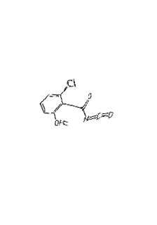 CC(=O)Oc1cccc(Cl)c1C(=O)N=C=O